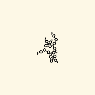 C=CC1=CCC(C2(c3ccc(F)cc3)C3=C(C=CCC3)C3C=CC(N(C4=CC=C(C5=CC(C6=CCC(F)C=C6)=CCC5)CC4)c4ccc5c(c4)C4C=C(N(C6=CC7C(C=C6)C6CCC=CC6C7(c6ccc(C=C)cc6)C6C=CC(F)=CC6)c6ccc(C7=CCCC(C8=CC=C(F)CC8)=C7)cc6)C=CC4O5)CC32)C=C1